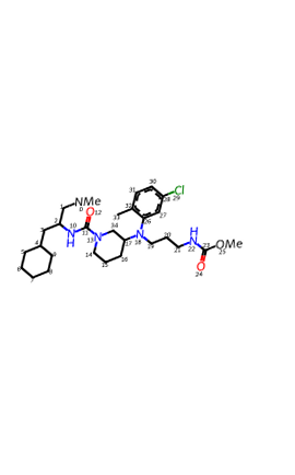 CNCC(CC1CCCCC1)NC(=O)N1CCCC(N(CCCNC(=O)OC)c2cc(Cl)ccc2C)C1